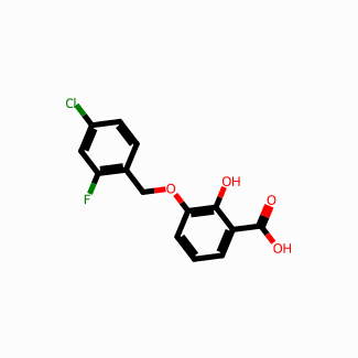 O=C(O)c1cccc(OCc2ccc(Cl)cc2F)c1O